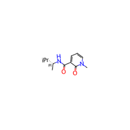 CC(C)[C@@H](C)NC(=O)c1cccn(C)c1=O